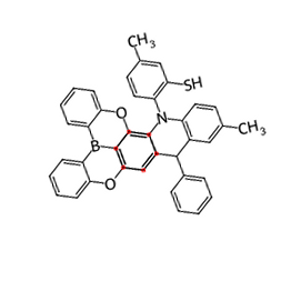 Cc1ccc(N(c2ccc(C)cc2C(c2ccccc2)c2ccccc2)c2ccc3c4c2Oc2ccccc2B4c2ccccc2O3)c(S)c1